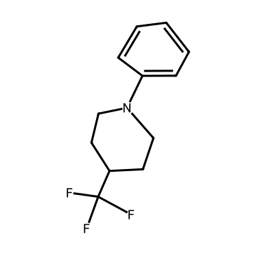 FC(F)(F)C1CCN(c2ccccc2)CC1